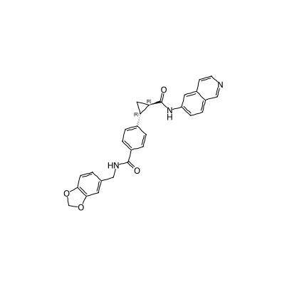 O=C(NCc1ccc2c(c1)OCO2)c1ccc([C@@H]2C[C@H]2C(=O)Nc2ccc3cnccc3c2)cc1